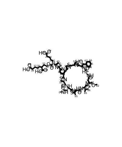 CNC(=O)C[C@@H]1NC(=O)c2csc(n2)-c2ccc(-c3nc(N(CCCCC(=O)O)C(=O)OCCC(CCCCC(=O)O)C(=O)O)cs3)nc2-c2csc(n2)-c2csc(n2)[C@H]([C@@H](O)c2ccccc2)NC(=O)CNC(=O)c2nc(sc2COC)[C@H](C(C)C)NC(=O)c2nc1sc2C